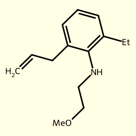 C=CCc1cccc(CC)c1NCCOC